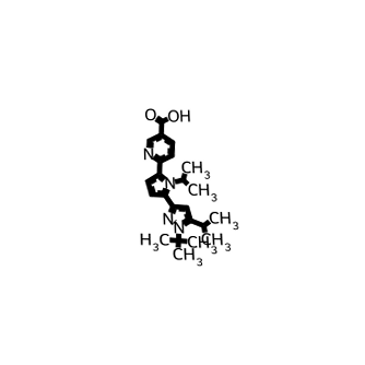 CC(C)c1cc(-c2ccc(-c3ccc(C(=O)O)cn3)n2C(C)C)nn1C(C)(C)C